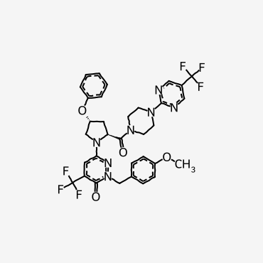 COc1ccc(Cn2nc(N3C[C@H](Oc4ccccc4)C[C@H]3C(=O)N3CCN(c4ncc(C(F)(F)F)cn4)CC3)cc(C(F)(F)F)c2=O)cc1